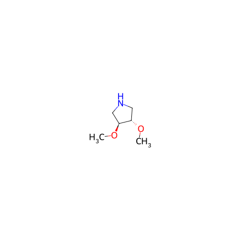 CO[C@H]1CNC[C@@H]1OC